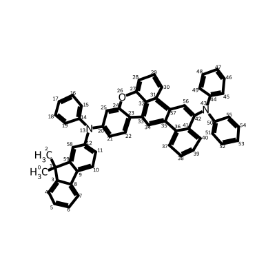 CC1(C)c2ccccc2-c2ccc(N(c3ccccc3)c3ccc4c(c3)Oc3cccc5c3c-4cc3c4ccccc4c(N(c4ccccc4)c4ccccc4)cc53)cc21